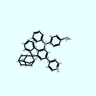 CC(C)(C)c1ccc(N(c2ccccc2)c2cc(-c3ccncc3)cc3c2-c2ccccc2C32C3CC4CC(C3)CC2C4)cc1